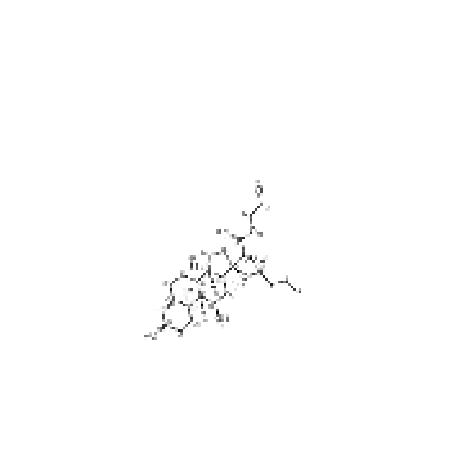 CCCC(=O)O[C@]1(C(=O)C(=O)OCCCl)CC[C@H]2[C@@H]3CCC4=CC(=O)CC[C@]4(C)[C@H]3C(O)C[C@@]21C